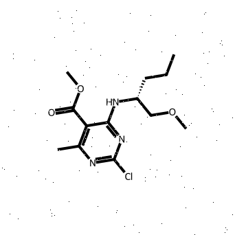 CCC[C@H](COC)Nc1nc(Cl)nc(C)c1C(=O)OC